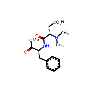 COC(=O)[C@H](Cc1ccccc1)NC(=O)[C@H](CC(=O)O)N(C)C